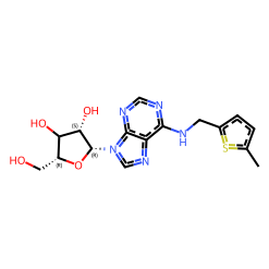 Cc1ccc(CNc2ncnc3c2ncn3[C@@H]2O[C@H](CO)C(O)[C@@H]2O)s1